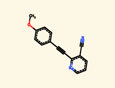 COc1ccc(C#Cc2ncccc2C#N)cc1